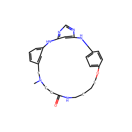 CN1CCC(=O)NCCCCOc2ccc(cc2)Nc2cc(ncn2)Nc2cccc(c2)C1